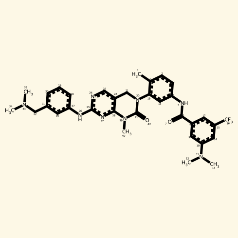 Cc1ccc(NC(=O)c2cc(N(C)C)cc(C(F)(F)F)c2)cc1N1Cc2cnc(Nc3cccc(CN(C)C)c3)nc2N(C)C1=O